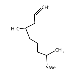 [CH]=CCC(C)CCCC(C)SC